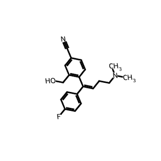 CN(C)CCC=C(c1ccc(F)cc1)c1ccc(C#N)cc1CO